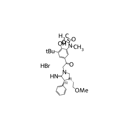 Br.COCC[C@H]1CN(CC(=O)c2cc(N(C)S(C)(=O)=O)c(O)c(C(C)(C)C)c2)C(=N)[C@@H]1c1ccccc1